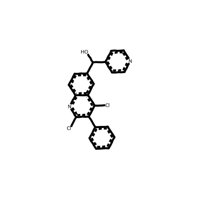 OC(c1ccncc1)c1ccc2nc(Cl)c(-c3ccccc3)c(Cl)c2c1